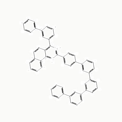 c1ccc(-c2cccc(-c3cccc(-c4cccc(-c5ccc(-c6nc(-c7cccc(-c8ccccc8)c7)c7ccc8ccccc8c7n6)cc5)c4)c3)c2)cc1